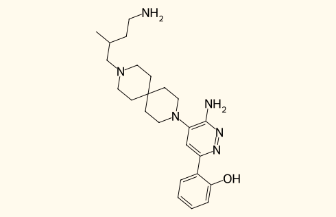 CC(CCN)CN1CCC2(CC1)CCN(c1cc(-c3ccccc3O)nnc1N)CC2